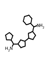 NC(C1CCCCC1)C1CCC(C2CCC(C(N)C3CCCC3)C2)C1